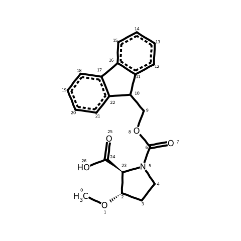 CO[C@H]1CCN(C(=O)OCC2c3ccccc3-c3ccccc32)[C@@H]1C(=O)O